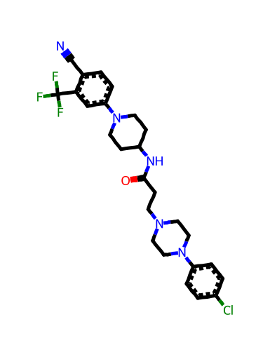 N#Cc1ccc(N2CCC(NC(=O)CCN3CCN(c4ccc(Cl)cc4)CC3)CC2)cc1C(F)(F)F